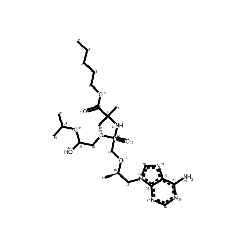 CCCCCOC(=O)C(C)(C)NP(=O)(CO[C@H](C)Cn1cnc2c(N)ncnc21)OCC(O)OC(C)C